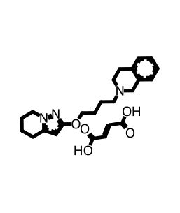 O=C(O)C=CC(=O)O.c1ccc2c(c1)CCN(CCCCOc1cc3n(n1)CCCC3)C2